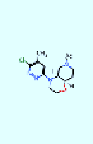 CC(=O)N1CC[C@H]2OCCN(c3cc(C)c(Cl)nn3)[C@H]2C1